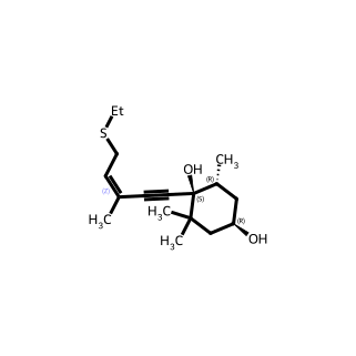 CCSC/C=C(/C)C#C[C@]1(O)[C@H](C)C[C@@H](O)CC1(C)C